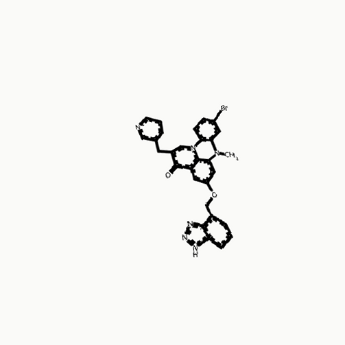 CN1c2cc(Br)ccc2-n2cc(Cc3cccnc3)c(=O)c3cc(OCc4cccc5[nH]nnc45)cc1c32